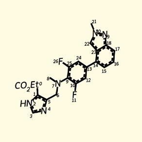 CCOC(=O)c1[nH]cnc1CN(C)c1c(F)cc(-c2cccc3nn(C)cc23)cc1F